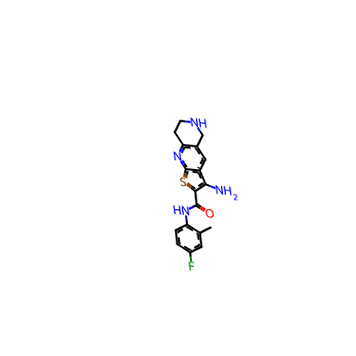 Cc1cc(F)ccc1NC(=O)c1sc2nc3c(cc2c1N)CNCC3